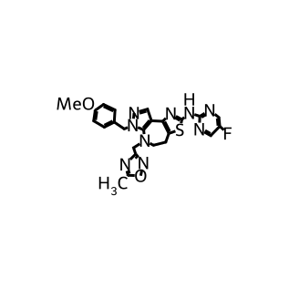 COc1ccc(Cn2ncc3c2N(Cc2noc(C)n2)CCc2sc(Nc4ncc(F)cn4)nc2-3)cc1